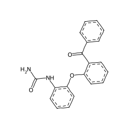 NC(=O)Nc1ccccc1Oc1ccccc1C(=O)c1ccccc1